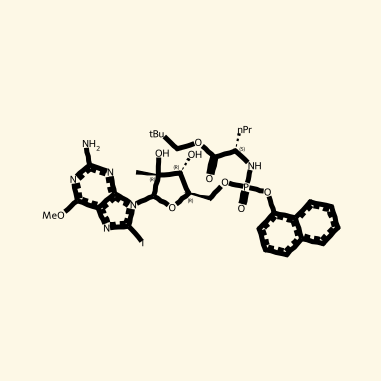 CCC[C@H](NP(=O)(OC[C@H]1OC(n2c(I)nc3c(OC)nc(N)nc32)[C@](C)(O)[C@@H]1O)Oc1cccc2ccccc12)C(=O)OCC(C)(C)C